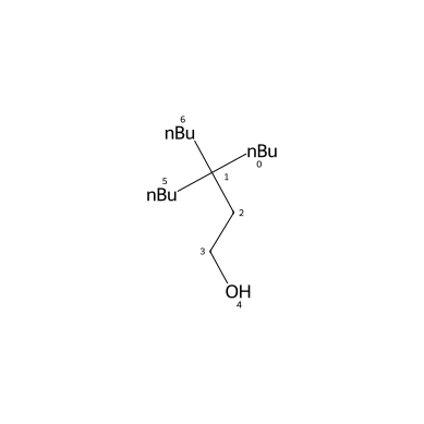 CCCCC(CCO)(CCCC)CCCC